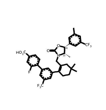 Cc1cc([C@H]2OC(=O)N(CC3=C(c4cc(-c5ccc(C(=O)O)cc5F)cc(C(F)(F)F)c4)CCC(C)(C)C3)[C@H]2C)cc(C(F)(F)F)c1